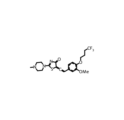 COc1cc(C=C=C2SC(N3CCN(C)CC3)=NC2=O)ccc1OCCCC(F)(F)F